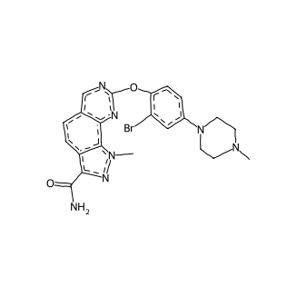 CN1CCN(c2ccc(Oc3ncc4ccc5c(C(N)=O)nn(C)c5c4n3)c(Br)c2)CC1